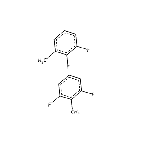 Cc1c(F)cccc1F.Cc1cccc(F)c1F